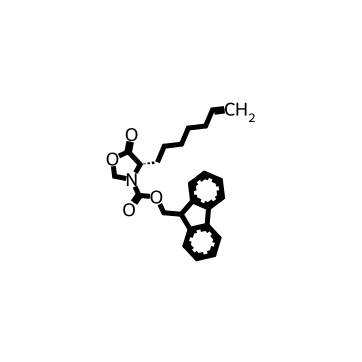 C=CCCCCC[C@H]1C(=O)OCN1C(=O)OCC1c2ccccc2-c2ccccc21